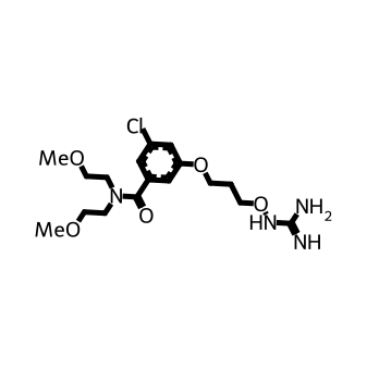 COCCN(CCOC)C(=O)c1cc(Cl)cc(OCCCONC(=N)N)c1